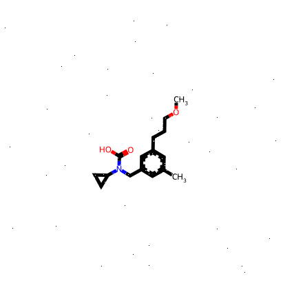 COCCCc1cc(C)cc(CN(C(=O)O)C2CC2)c1